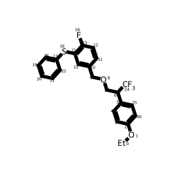 CCOc1ccc(C(COCc2ccc(F)c(Sc3ccccc3)c2)C(F)(F)F)cc1